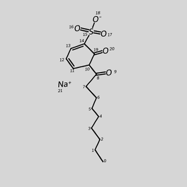 CCCCCCCCC(=O)C1C=CC=C(S(=O)(=O)[O-])C1=O.[Na+]